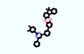 Cc1ccc(-c2nc(-c3ccccc3)cc(-c3cccc(-c4ccc5c(c4)Oc4ccc6c(c4O5)-c4ccccc4C6(C)C)c3)n2)cc1C